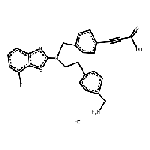 Cl.NCc1ccc(CCN(Cc2ccc(C#CC(=O)O)cc2)c2nc3cccc(F)c3s2)cc1